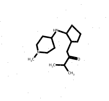 CC(C)C(=O)CC1CCCC1NC1CCN(C)CC1